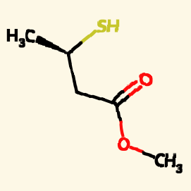 COC(=O)C[C@@H](C)S